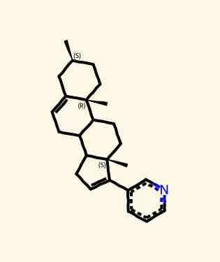 C[C@H]1CC[C@@]2(C)C(=CCC3C2CC[C@]2(C)C(c4cccnc4)=CCC32)C1